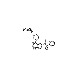 CSNCC1CCCN(c2ncnc3ccc(NC(=O)c4ccccn4)cc23)C1